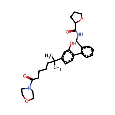 CC(C)(CCCCC(=O)N1CCOCC1)c1ccc(-c2ccccc2CNC(=O)C2CCCO2)c(O)c1